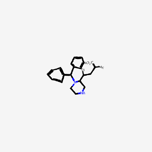 CCC(CC(C(C)=O)C(=O)O)C1CNCCN1C(c1ccccc1)c1ccccc1